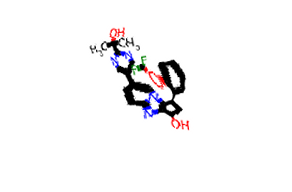 CC(C)(O)c1ncc(-c2ccc3nc4c(n3c2)[C@@H](c2ccccc2OC(F)F)C[C@H]4O)cn1